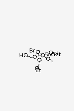 C=Cc1ccc2c(c1)C(CCCCCCCC)(CCCCCCCC)c1cc3c(cc1-2)C(c1ccc(CCCO)cc1)(c1ccc(CCCOCC)cc1)c1cc(Br)ccc1-3